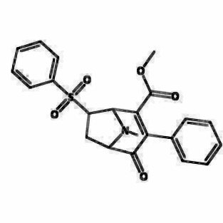 COC(=O)C1=C(c2ccccc2)C(=O)C2CC(S(=O)(=O)c3ccccc3)C1N2C